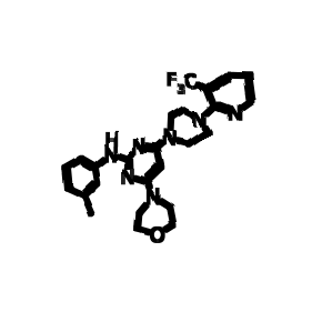 Cc1cccc(Nc2nc(N3CCOCC3)cc(N3CCN(c4ncccc4C(F)(F)F)CC3)n2)c1